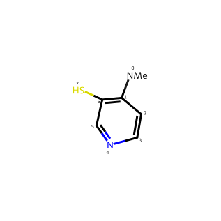 CNc1ccncc1S